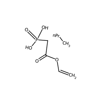 C=COC(=O)CP(=O)(O)O.CCCC